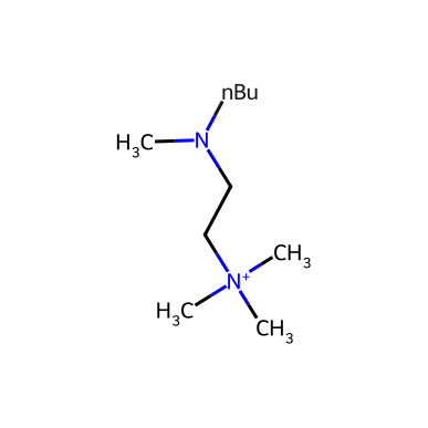 CCCCN(C)CC[N+](C)(C)C